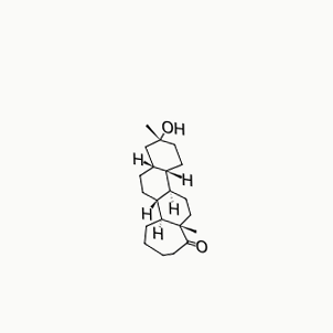 C[C@@]1(O)CC[C@H]2[C@H](CC[C@@H]3[C@@H]2CC[C@]2(C)C(=O)CCCC[C@@H]32)C1